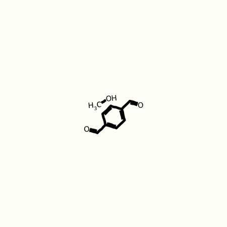 CO.O=Cc1ccc(C=O)cc1